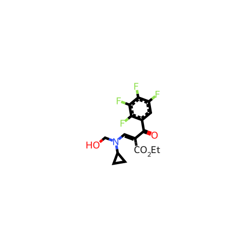 CCOC(=O)C(=CN(CO)C1CC1)C(=O)c1cc(F)c(F)c(F)c1F